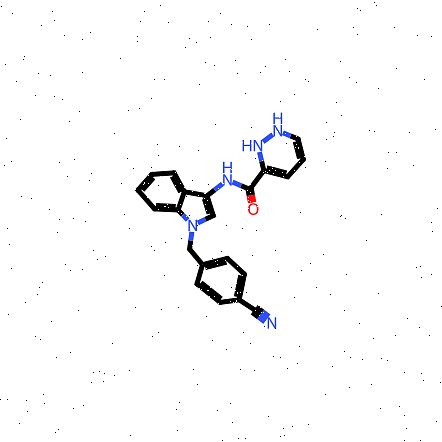 N#Cc1ccc(Cn2cc(NC(=O)C3=CC=CNN3)c3ccccc32)cc1